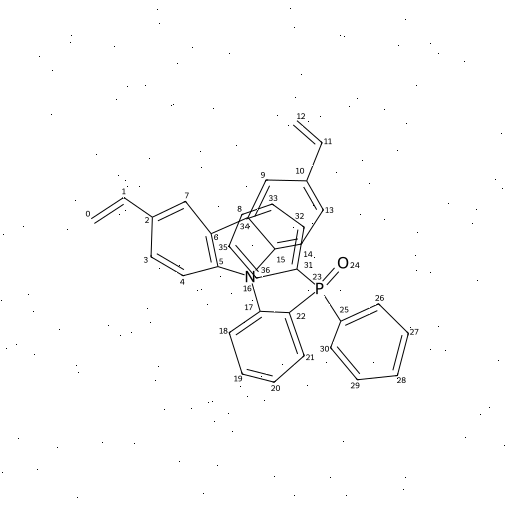 C=Cc1ccc2c(c1)c1cc(C=C)ccc1n2-c1ccccc1P(=O)(c1ccccc1)c1ccccc1